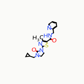 Cc1nc(N2CCN(CC3CC3)C2=O)sc1C(=O)NCc1ccccn1